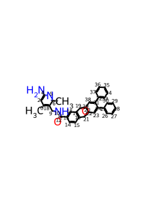 Cc1cc(N)nc(C)c1CNC(=O)c1ccc2c(c1)c1oc2c2cc(-c3ccccc3)c(-c3ccccc3)cc21